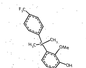 COc1c(O)cccc1[Si](C)(C)c1ccc(C(F)(F)F)cc1